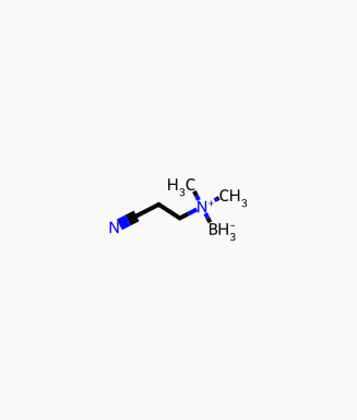 [BH3-][N+](C)(C)CCC#N